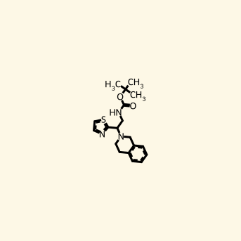 CC(C)(C)OC(=O)NCC(c1nccs1)N1CCc2ccccc2C1